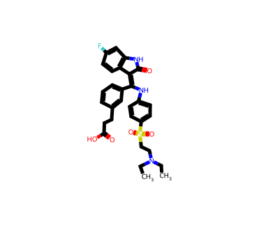 CCN(CC)CCS(=O)(=O)c1ccc(N/C(=C2\C(=O)Nc3cc(F)ccc32)c2cccc(CCC(=O)O)c2)cc1